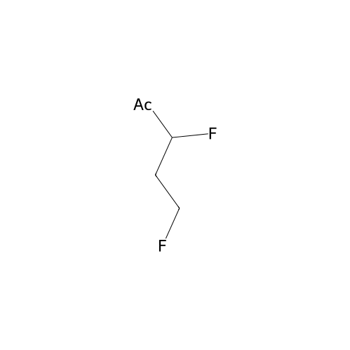 CC(=O)C(F)CCF